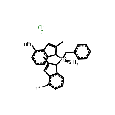 CCCc1cccc2c1C=C(C)[CH]2[Zr+2](=[SiH2])([CH2]c1ccccc1)[CH]1C(C)=Cc2c(CCC)cccc21.[Cl-].[Cl-]